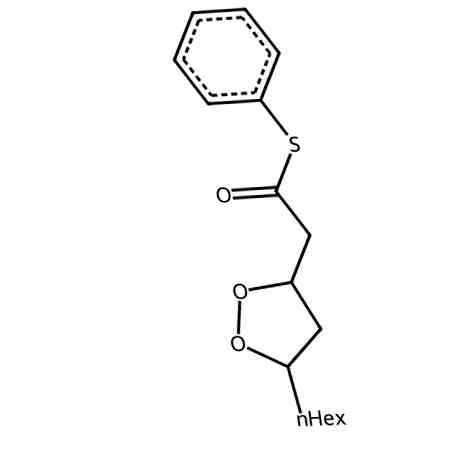 CCCCCCC1CC(CC(=O)Sc2ccccc2)OO1